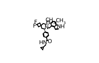 COc1cc(C)c2[nH]ccc2c1CN1CCC2(C[C@@H]1c1ccc(C(=O)NCC3CC3)cc1)CC(F)(F)C2